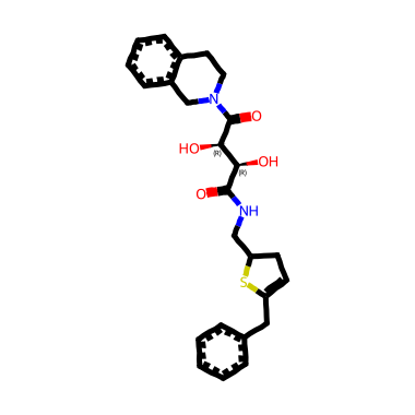 O=C(NCC1CC=C(Cc2ccccc2)S1)[C@H](O)[C@@H](O)C(=O)N1CCc2ccccc2C1